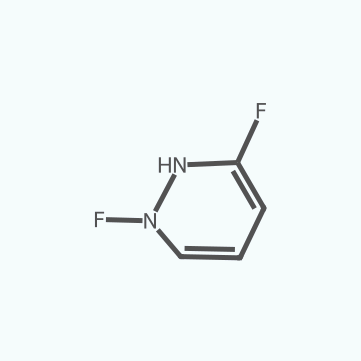 FC1=CC=CN(F)N1